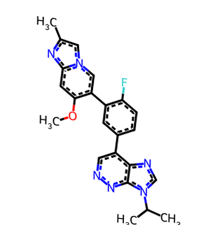 COc1cc2nc(C)cn2cc1-c1cc(-c2cnnc3c2ncn3C(C)C)ccc1F